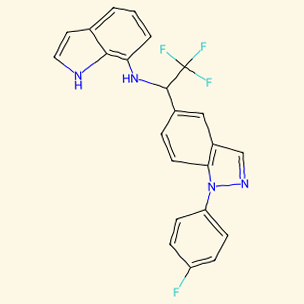 Fc1ccc(-n2ncc3cc(C(Nc4cccc5cc[nH]c45)C(F)(F)F)ccc32)cc1